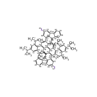 CC(C)c1cc(C(C)C)c(-c2cc3c4c(cc5c(-c6c(C(C)C)cc(C(C)C)cc6C(C)C)cc6c7c(cc2c4c57)B2c4ccccc4-c4cc(I)cc-6c42)B2c4ccccc4-c4cc(I)cc-3c42)c(C(C)C)c1